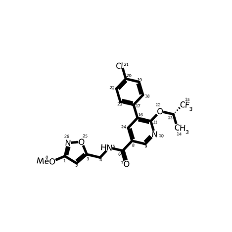 COc1cc(CNC(=O)c2cnc(O[C@@H](C)C(F)(F)F)c(-c3ccc(Cl)cc3)c2)on1